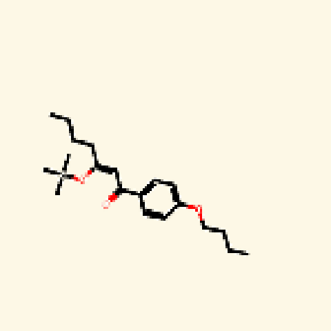 CCCCOc1ccc(C(=O)/C=C(/CCCC)O[Si](C)(C)C)cc1